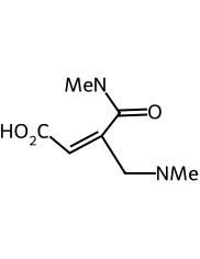 CNCC(=CC(=O)O)C(=O)NC